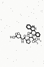 CC(C)[C@H](NC(=O)c1c(-c2ccccc2)nnc2ccccc12)C(=O)N1CCC[C@H]1C(=O)N[C@H](C=O)CC(=O)O